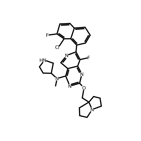 CN(c1nc(OCC23CCCN2CCC3)nc2c(F)c(-c3cccc4ccc(F)c(Cl)c34)ncc12)C1CCNC1